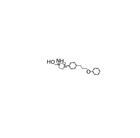 N[C@@]1(CO)CC[C@H](c2ccc(CCCOc3ccccc3)cc2)C1